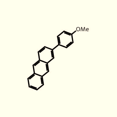 COc1ccc(-c2ccc3cc4ccccc4cc3c2)cc1